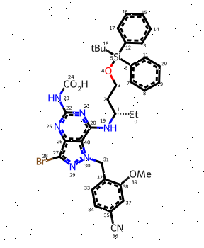 CC[C@@H](CCO[Si](c1ccccc1)(c1ccccc1)C(C)(C)C)Nc1nc(NC(=O)O)nc2c(Br)nn(Cc3ccc(C#N)cc3OC)c12